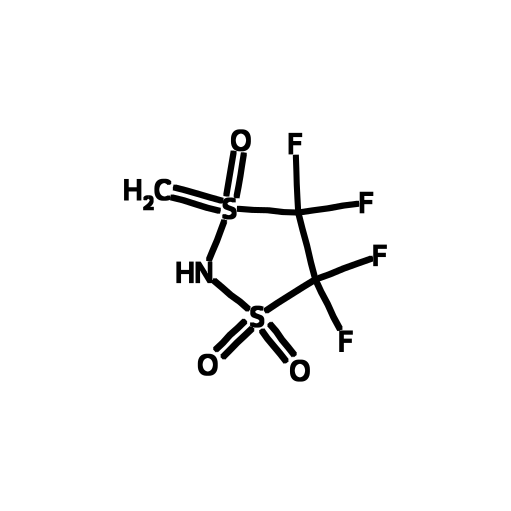 C=S1(=O)NS(=O)(=O)C(F)(F)C1(F)F